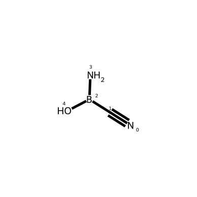 N#CB(N)O